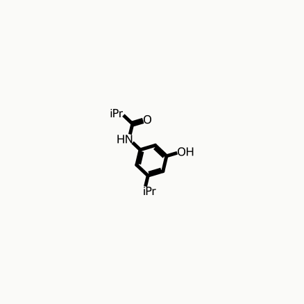 CC(C)C(=O)Nc1cc(O)cc(C(C)C)c1